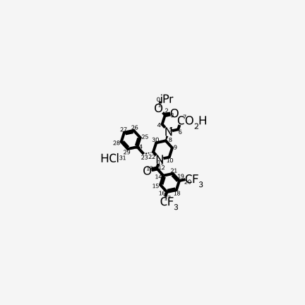 CC(C)OC(=O)CN(CC(=O)O)[C@H]1CCN(C(=O)c2cc(C(F)(F)F)cc(C(F)(F)F)c2)[C@H](Cc2ccccc2)C1.Cl